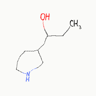 CCC(O)C1CCNC1